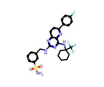 NS(=O)(=O)c1cccc(CNc2nc(NC3(C(F)(F)F)CCCCC3)c3nc(-c4ccc(F)cc4)ccc3n2)c1